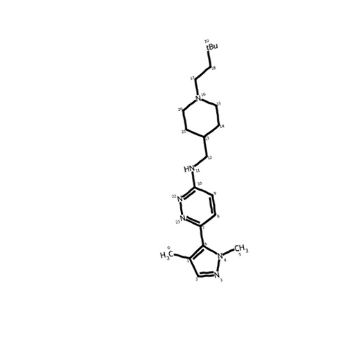 Cc1cnn(C)c1-c1ccc(NCC2CCN(CCC(C)(C)C)CC2)nn1